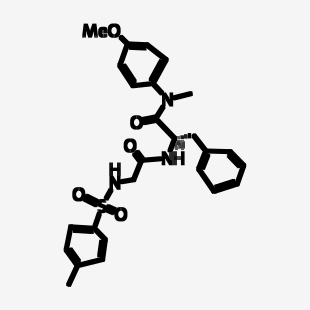 COc1ccc(N(C)C(=O)[C@H](Cc2ccccc2)NC(=O)CNS(=O)(=O)c2ccc(C)cc2)cc1